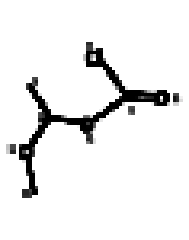 COC(C)OC(=O)Cl